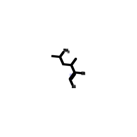 CC/C=C(\CC)C(C)CC(C)P